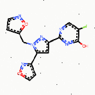 Oc1nc(-c2cc(-c3ccon3)n(Cc3ccno3)n2)ncc1F